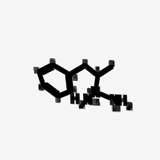 CC(Cc1ccccc1)N(N)N